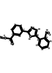 COC(=O)c1cccc(-c2nnc(-c3ccccc3[N+](=O)[O-])o2)c1